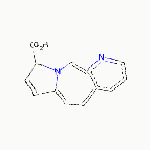 O=C(O)C1C=CC2=CC=c3cccnc3=CN21